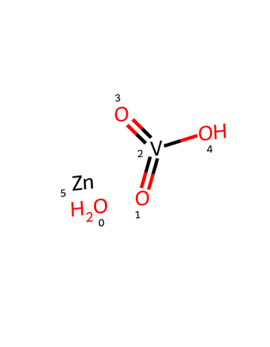 O.[O]=[V](=[O])[OH].[Zn]